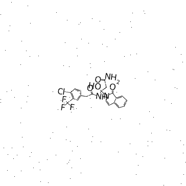 NC(=O)CC(O)(NC(=O)Cc1ccc(Cl)c(C(F)(F)F)c1)n1ccc2ccccc2c1=O